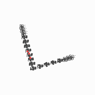 Cc1n(C(C)C)cc[n+]1C.Cc1n(C(C)C)cc[n+]1C.Cc1n(C(C)C)cc[n+]1C.Cc1n(C(C)C)cc[n+]1C.Cc1n(C(C)C)cc[n+]1C.Cc1n(C(C)C)cc[n+]1C.Cc1n(C(C)C)cc[n+]1C.Cc1n(C(C)C)cc[n+]1C.Cc1n(C(C)C)cc[n+]1C.Cc1n(C(C)C)cc[n+]1C.Cc1n(C(C)C)cc[n+]1C.Cc1n(C(C)C)cc[n+]1C.O=P([O-])([O-])F.O=P([O-])([O-])F.O=P([O-])([O-])F.O=P([O-])([O-])F.O=P([O-])([O-])F.O=P([O-])([O-])F